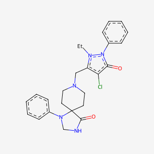 CCn1c(CN2CCC3(CC2)C(=O)NCN3c2ccccc2)c(Cl)c(=O)n1-c1ccccc1